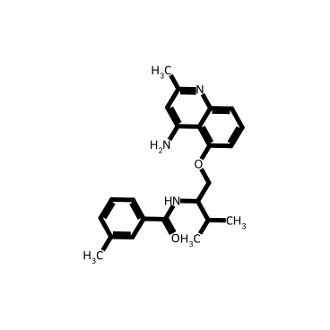 Cc1cccc(C(=O)NC(COc2cccc3nc(C)cc(N)c23)C(C)C)c1